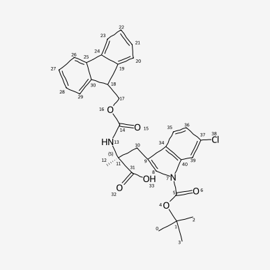 CC(C)(C)OC(=O)n1cc(C[C@](C)(NC(=O)OCC2c3ccccc3-c3ccccc32)C(=O)O)c2ccc(Cl)cc21